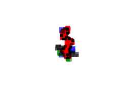 COc1cc(C(=O)N2CCCC[C@H]2CCC#Cc2cccc3c2CN([C@H]2CCC(=O)NC2=O)C3=O)ccc1NC(=O)[C@@H]1N[C@@H](CC(C)(C)C)[C@@]2(CNc3cc(Cl)ccc32)[C@H]1c1cccc(Cl)c1F